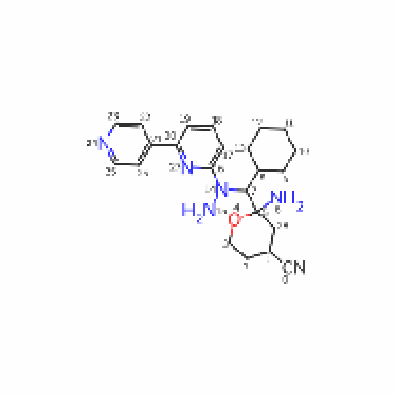 N#CC1CCOC(N)(C(C2CCCCC2)N(N)c2cccc(-c3ccncc3)n2)C1